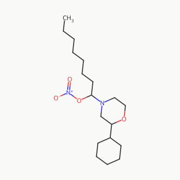 CCCCCCCC(O[N+](=O)[O-])N1CCOC(C2CCCCC2)C1